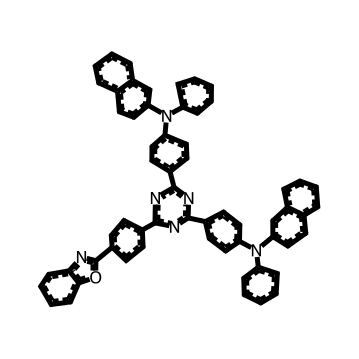 c1ccc(N(c2ccc(-c3nc(-c4ccc(-c5nc6ccccc6o5)cc4)nc(-c4ccc(N(c5ccccc5)c5ccc6ccccc6c5)cc4)n3)cc2)c2ccc3ccccc3c2)cc1